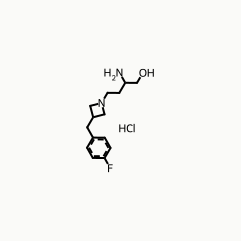 Cl.NC(CO)CCN1CC(Cc2ccc(F)cc2)C1